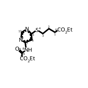 CCOC(=O)CCCSc1cc(NC(=O)C(=O)OCC)ncn1